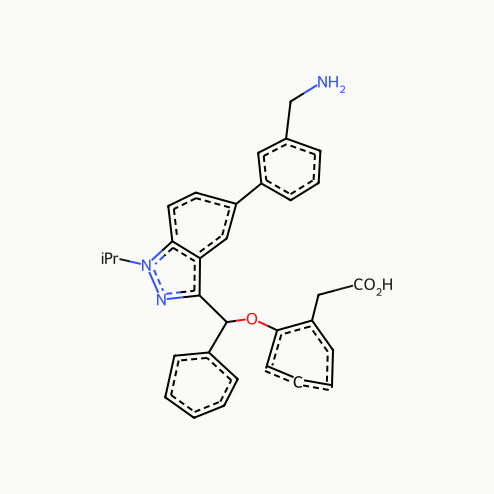 CC(C)n1nc(C(Oc2ccccc2CC(=O)O)c2ccccc2)c2cc(-c3cccc(CN)c3)ccc21